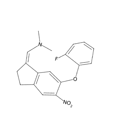 CN(C)/C=C1/CCc2cc([N+](=O)[O-])c(Oc3ccccc3F)cc21